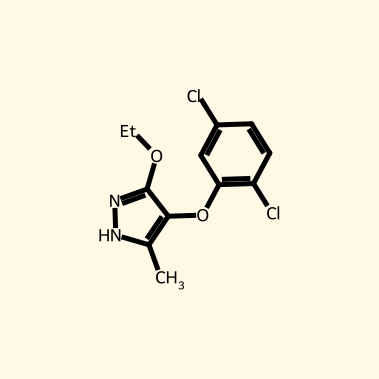 CCOc1n[nH]c(C)c1Oc1cc(Cl)ccc1Cl